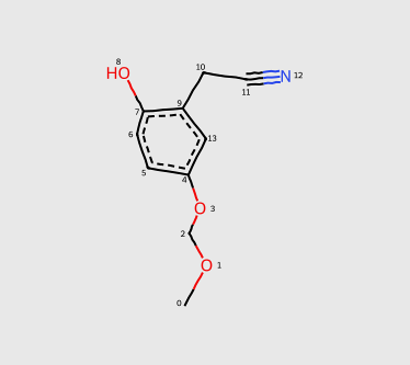 COCOc1ccc(O)c(CC#N)c1